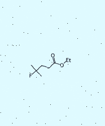 CCOC(=O)CCC(C)(C)F